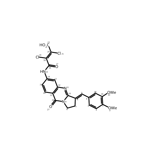 COc1ccc(C=C2CCn3c2nc2cc(NC(=O)C(Cl)=C(Cl)C(=O)O)ccc2c3=O)cc1OC